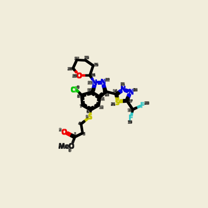 COC(=O)CCSc1cc(Cl)c2c(c1)c(-c1nnc(C(F)F)s1)nn2C1CCCCO1